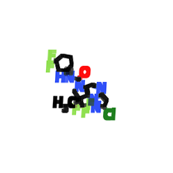 C[C@@]1(C(F)(F)F)CN(C(=O)N[C@H]2CCCC(F)(F)C2)c2cnc3cc(Cl)nn3c21